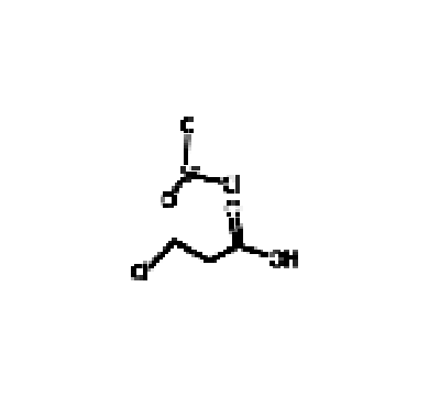 O=C(O)CCCl.[O-][S+](Cl)Cl